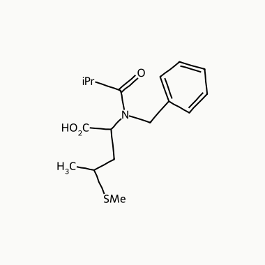 CSC(C)CC(C(=O)O)N(Cc1ccccc1)C(=O)C(C)C